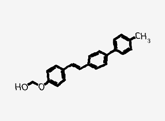 Cc1ccc(-c2ccc(C=Cc3ccc(OCO)cc3)cc2)cc1